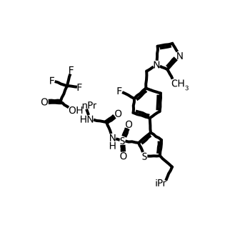 CCCNC(=O)NS(=O)(=O)c1sc(CC(C)C)cc1-c1ccc(Cn2ccnc2C)c(F)c1.O=C(O)C(F)(F)F